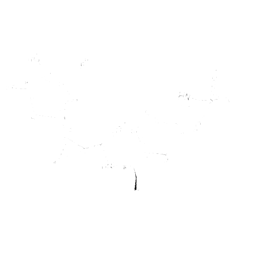 C[C@@H](NC(=O)C1C[C@@H]1c1cc(F)c(C(C)(C)C)c(F)c1)c1ccc(NS(C)(=O)=O)cc1